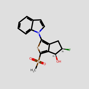 CS(=O)(=O)c1sc(-n2ccc3ccccc32)c2c1[C@H](O)[C@H](F)C2